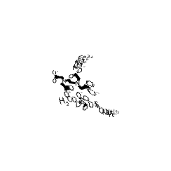 C=O.O=C([O-])CN(CCN(CC(=O)[O-])CC(=O)[O-])CC(=O)[O-].O=S(=O)([O-])[O-].[Fe+2].[Fe+2].[Na+].[Na+].[Na+].[Na+].[O-]S[O-]